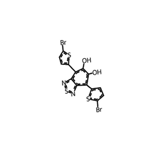 Oc1c(O)c(-c2ccc(Br)s2)c2nsnc2c1-c1ccc(Br)s1